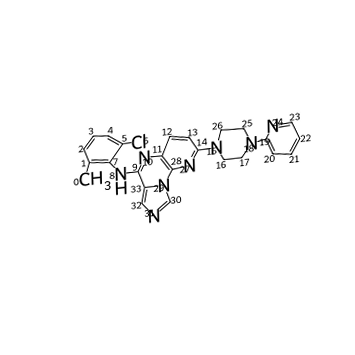 Cc1cccc(Cl)c1Nc1nc2ccc(N3CCN(c4ccccn4)CC3)nc2n2cncc12